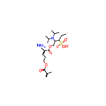 C=C(C)C(=O)OCCC=C(C)C(=O)OCC(C(CC)S(=O)(=O)O)N(C(C)C)C(C)C.N